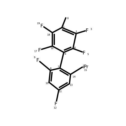 Cc1c(F)c(F)c(-c2c(F)cc(F)cc2C(C)C)c(F)c1F